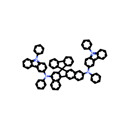 c1ccc(N(c2ccc3cc4c(cc3c2)C2(c3ccccc3-c3ccccc32)c2cc(N(c3ccccc3)c3ccc5c(c3)c3ccccc3n5-c3ccccc3)c3ccccc3c2-4)c2ccc3c(c2)c2ccccc2n3-c2ccccc2)cc1